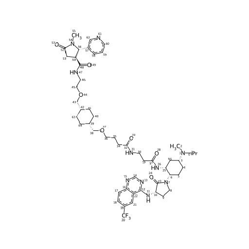 CC(C)N(C)[C@@H]1CC[C@H](N2CC[C@H](Nc3ncnc4ccc(C(F)(F)F)cc34)C2=O)[C@H](NC(=O)CCNC(=O)CCCOC[C@H]2CC[C@@H](COCCNC(=O)[C@H]3CC(=O)N(C)[C@@H]3c3cccnc3)CC2)C1